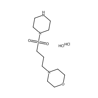 Cl.Cl.O=S(=O)(CCCN1CCOCC1)N1CCNCC1